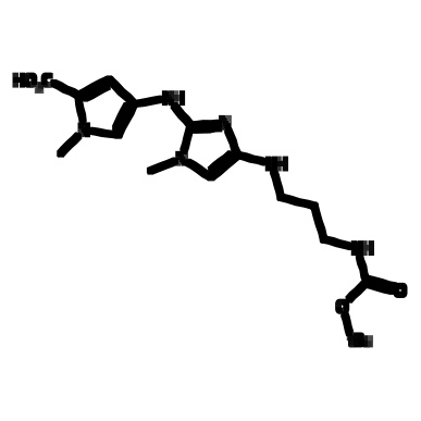 Cn1cc(Nc2nc(NCCCNC(=O)OC(C)(C)C)cn2C)cc1C(=O)O